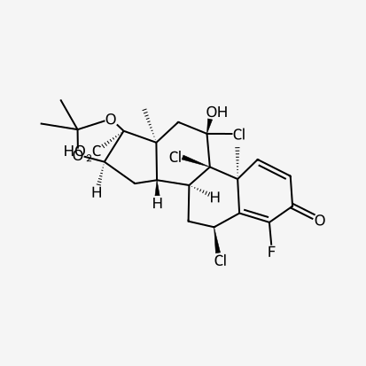 CC1(C)O[C@@H]2C[C@H]3[C@@H]4C[C@H](Cl)C5=C(F)C(=O)C=C[C@]5(C)[C@@]4(Cl)[C@@](O)(Cl)C[C@]3(C)[C@]2(C(=O)O)O1